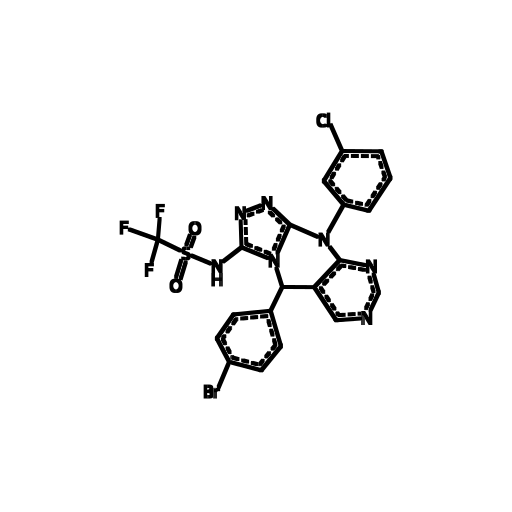 O=S(=O)(Nc1nnc2n1C(c1ccc(Br)cc1)c1cncnc1N2c1cccc(Cl)c1)C(F)(F)F